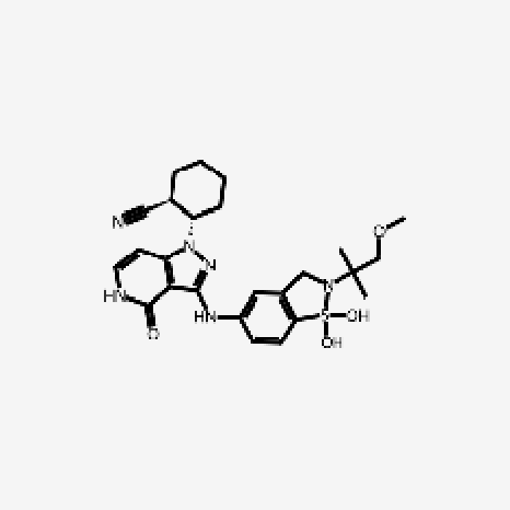 COCC(C)(C)N1Cc2cc(Nc3nn([C@H]4CCCC[C@@H]4C#N)c4cc[nH]c(=O)c34)ccc2S1(O)O